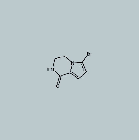 O=C1NCCn2c(Br)ccc21